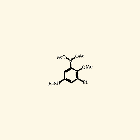 CCc1cc(NC(C)=O)cc(N(OC(C)=O)OC(C)=O)c1OC